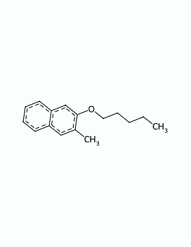 CCCCCOc1cc2ccccc2cc1C